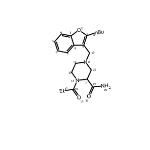 CCCCc1oc2ccccc2c1CN1CCN(C(=O)CC)C(C(N)=O)C1